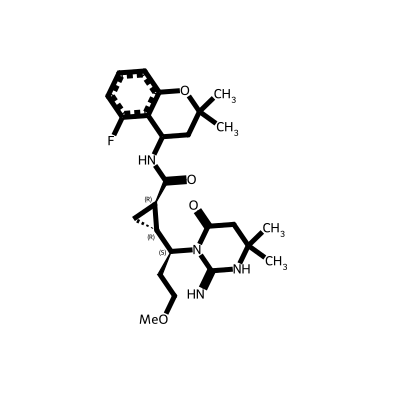 COCC[C@@H]([C@@H]1C[C@H]1C(=O)NC1CC(C)(C)Oc2cccc(F)c21)N1C(=N)NC(C)(C)CC1=O